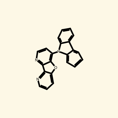 c1cnc2c(c1)oc1c(-n3c4ccccc4c4ccccc43)ccnc12